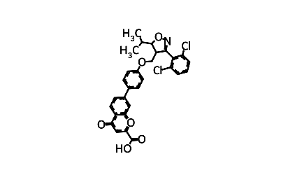 CC(C)C1ON=C(c2c(Cl)cccc2Cl)C1COc1ccc(-c2ccc3c(=O)cc(C(=O)O)oc3c2)cc1